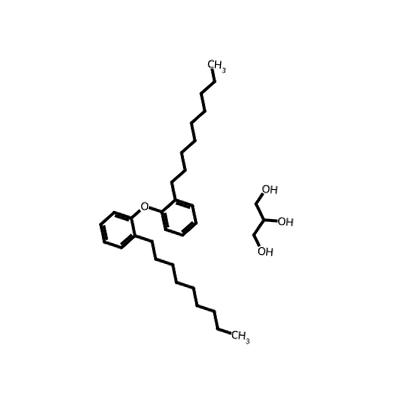 CCCCCCCCCc1ccccc1Oc1ccccc1CCCCCCCCC.OCC(O)CO